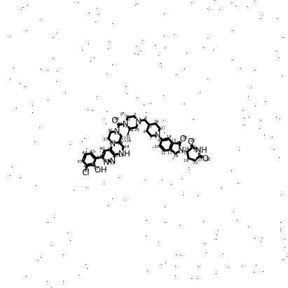 C[C@@H]1CN(CC2CCN(c3ccc4c(c3)C(=O)N([C@H]3CCC(=O)NC3=O)C4)CC2)C[C@@H](C)N1C(=O)N1CCN2c3cc(-c4cccc(Cl)c4O)nnc3NC[C@]2(C)C1